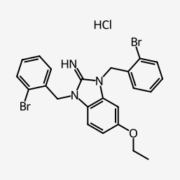 CCOc1ccc2c(c1)n(Cc1ccccc1Br)c(=N)n2Cc1ccccc1Br.Cl